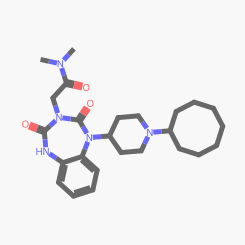 CN(C)C(=O)CN1C(=O)Nc2ccccc2N(C2CCN(C3CCCCCCC3)CC2)C1=O